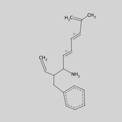 C=CC(Cc1ccccc1)C(N)/C=C/C=C/C(=C)C